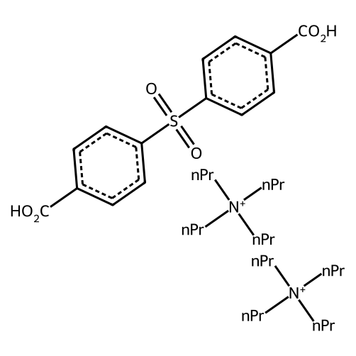 CCC[N+](CCC)(CCC)CCC.CCC[N+](CCC)(CCC)CCC.O=C(O)c1ccc(S(=O)(=O)c2ccc(C(=O)O)cc2)cc1